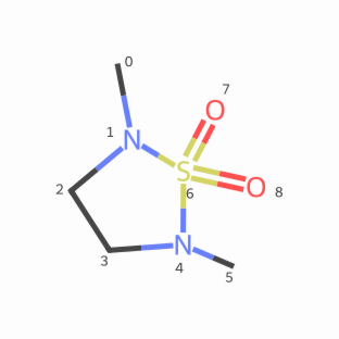 CN1CCN(C)S1(=O)=O